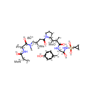 CC[C@H](C)[C@@H]([C@@H](CC(=O)N1CCC[C@H]1[C@H](OC)[C@@H](C)C(=O)N[C@@H](Cc1ccc(O)cc1)C(=O)NS(=O)(=O)C1CC1)OC)N(C)C(=O)[C@@H](NC(=O)[C@@H](NC)C(C)C)C(C)C